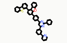 c1ccc(-c2nc(-c3ccc(-c4ccc(-c5cccc6c5sc5ccccc56)c5c4oc4ccccc45)cc3)cc(-c3cccc(-c4ccccn4)c3)n2)cc1